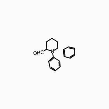 O=CC1CCCCN1c1ccccc1.c1ccccc1